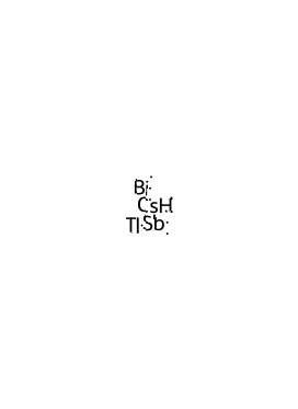 [Bi].[CsH].[Sb].[Tl]